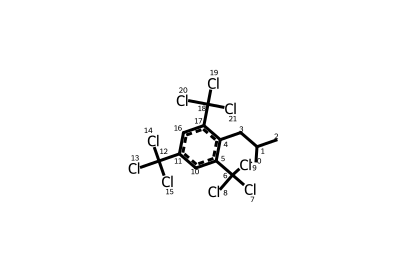 [CH2]C(C)Cc1c(C(Cl)(Cl)Cl)cc(C(Cl)(Cl)Cl)cc1C(Cl)(Cl)Cl